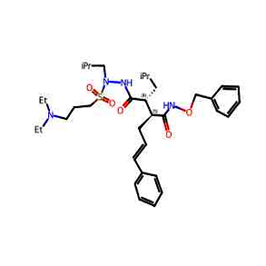 CCN(CC)CCCS(=O)(=O)N(CC(C)C)NC(=O)[C@H](CC(C)C)[C@H](CC=Cc1ccccc1)C(=O)NOCc1ccccc1